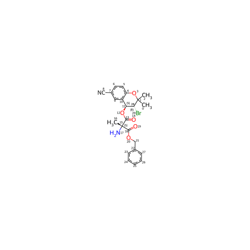 CC1(C)Oc2ccc(C#N)cc2[C@H](OC(=O)[C@@](C)(N)C(=O)OCc2ccccc2)[C@H]1Br